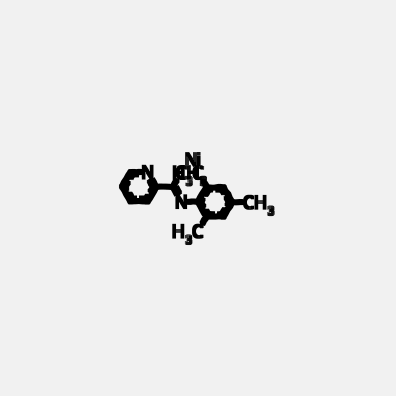 CC(=Nc1c(C)cc(C)cc1C)c1ccccn1.[Ni]